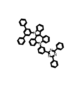 c1ccc(-c2cc(-c3ccccc3)cc(-n3c4c(c5ccccc53)-c3ccccc3N(c3cccc(-c5nc(-c6ccccc6)nc(-c6ccccc6)n5)c3)c3ccccc3-4)c2)cc1